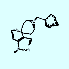 C=CC1=C(N(C)N)C=COC12CCN(Cc1ccccc1)CC2